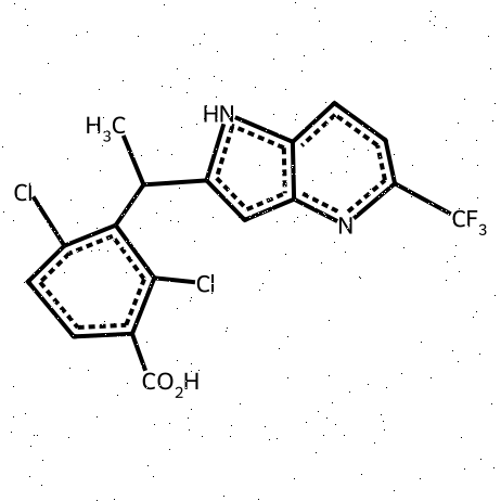 CC(c1cc2nc(C(F)(F)F)ccc2[nH]1)c1c(Cl)ccc(C(=O)O)c1Cl